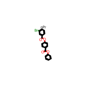 CCCc1ccc(C(=O)Oc2ccc(C(=O)Oc3ccccc3)cc2)cc1Br